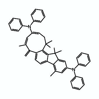 C=C1/C(C)=C\C(N(c2ccccc2)c2ccccc2)=C/CC(C)(C)c2c1ccc1c2C(C)(C)c2cc(N(c3ccccc3)c3ccccc3)cc(C)c2-1